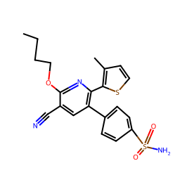 CCCCOc1nc(-c2sccc2C)c(-c2ccc(S(N)(=O)=O)cc2)cc1C#N